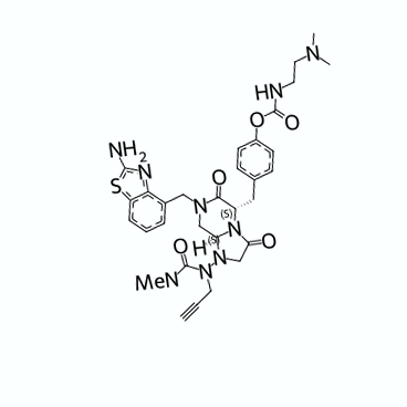 C#CCN(C(=O)NC)N1CC(=O)N2[C@@H](Cc3ccc(OC(=O)NCCN(C)C)cc3)C(=O)N(Cc3cccc4sc(N)nc34)C[C@@H]21